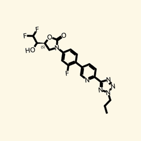 CCCn1nnc(-c2ccc(-c3ccc(N4C[C@@H](C(O)C(F)F)OC4=O)cc3F)cn2)n1